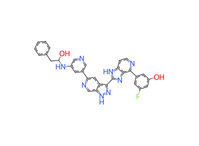 Oc1cc(F)cc(-c2nccc3[nH]c(-c4n[nH]c5cnc(-c6cncc(NC(O)Cc7ccccc7)c6)cc45)nc23)c1